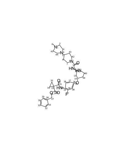 CN1CCN(C2CCN(C(=O)NC3CC(Oc4ccc(NC(=O)C5(C(=O)OCc6ccccc6)CC5)c(F)c4)CCN3)CC2)CC1